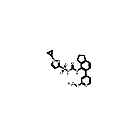 COc1cc(-c2ccc3c(c2NC(=O)NS(=O)(=O)c2ccn(C4CC4)n2)CCC3)ccn1